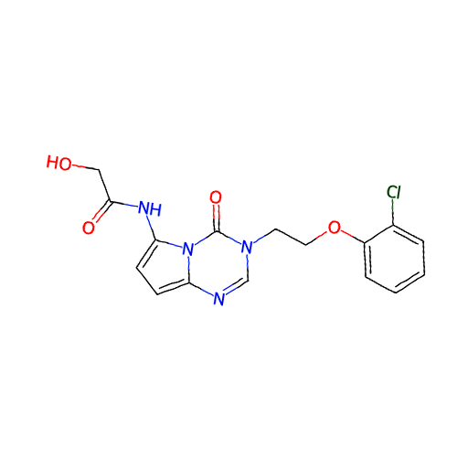 O=C(CO)Nc1ccc2ncn(CCOc3ccccc3Cl)c(=O)n12